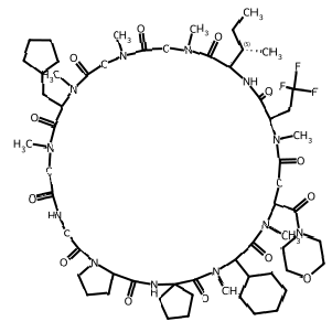 CC[C@H](C)C1NC(=O)C(CC(F)(F)F)N(C)C(=O)CC(C(=O)N2CCOCC2)N(C)C(=O)C(C2CCCCC2)N(C)C(=O)C2(CCCC2)NC(=O)C2CCCN2C(=O)CNC(=O)CN(C)C(=O)C(CC2CCCC2)N(C)C(=O)CN(C)C(=O)CN(C)C1=O